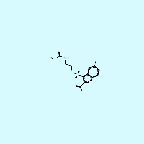 CC(C)(C)OC(=O)NCCNS(=O)(=O)c1c(C(N)=O)[nH]c2ccc(Br)cc12